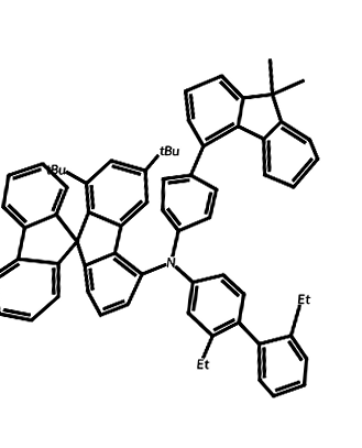 CCc1ccccc1-c1ccc(N(c2ccc(-c3cccc4c3-c3ccccc3C4(C)C)cc2)c2cccc3c2-c2cc(C(C)(C)C)cc(C(C)(C)C)c2C32c3ccccc3-c3ccccc32)cc1CC